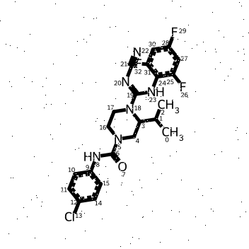 CC(C)C1CN(C(=O)Nc2ccc(Cl)cc2)CCN1/C(=N/C#N)Nc1c(F)cc(F)cc1F